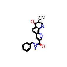 CN(Cc1ccccc1)C(=O)c1cnc2c3c(ccc2c1)C(=O)C(C#N)C=N3